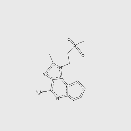 Cc1nc2c(N)nc3ccccc3c2n1CCS(C)(=O)=O